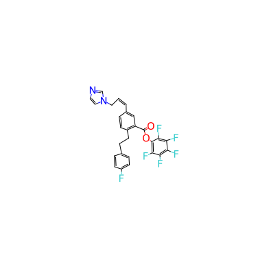 O=C(Oc1c(F)c(F)c(F)c(F)c1F)c1cc(/C=C\Cn2ccnc2)ccc1CCc1ccc(F)cc1